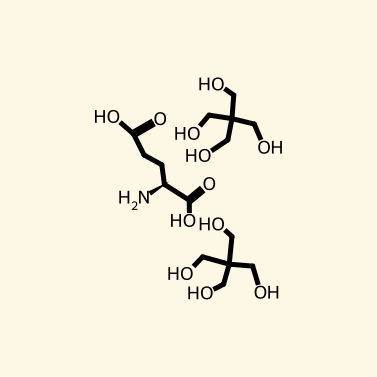 N[C@@H](CCC(=O)O)C(=O)O.OCC(CO)(CO)CO.OCC(CO)(CO)CO